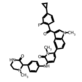 CN1CCNC(=O)C1c1ccc(Nc2ccc(-c3ccc4c(c3)c(C(=O)c3ccc(C5CC5)cc3F)cn4C)n(C)c2=O)cc1